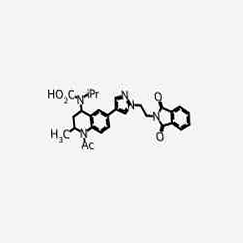 CC(=O)N1c2ccc(-c3cnn(CCN4C(=O)c5ccccc5C4=O)c3)cc2C(N(C(=O)O)C(C)C)CC1C